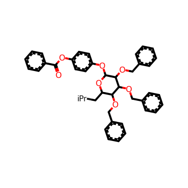 CC(C)CC1OC(Oc2ccc(OC(=O)c3ccccc3)cc2)C(OCc2ccccc2)C(OCc2ccccc2)C1OCc1ccccc1